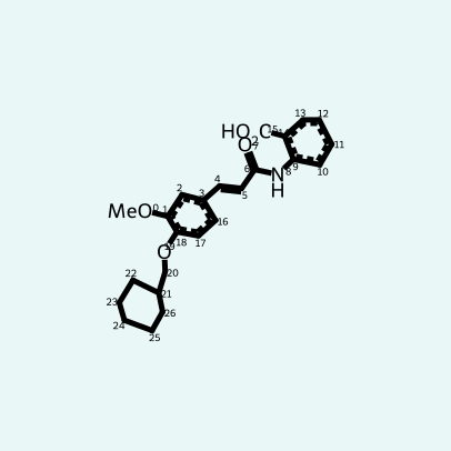 COc1cc(/C=C/C(=O)Nc2ccccc2C(=O)O)ccc1OCC1CCCCC1